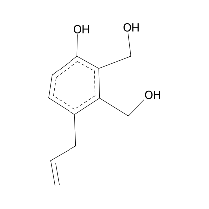 C=CCc1ccc(O)c(CO)c1CO